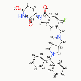 O=C1CCC(N2Cc3cc(CN4CC5CN(C(c6ccccc6)c6ccccc6)CC5C4)c(F)cc3C2=O)C(=O)N1